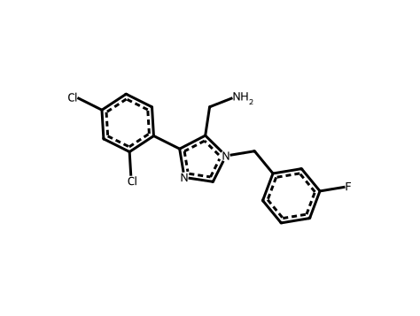 NCc1c(-c2ccc(Cl)cc2Cl)ncn1Cc1cccc(F)c1